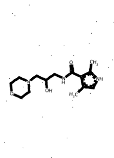 Cc1c[nH]c(C)c1C(=O)NCC(O)CN1CCOCC1